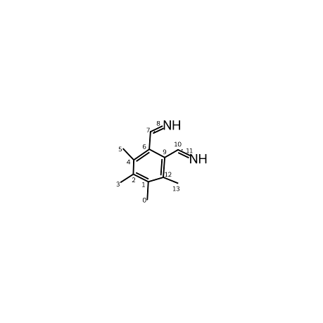 Cc1c(C)c(C)c([C]=N)c([C]=N)c1C